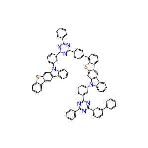 c1ccc(-c2cccc(-c3nc(-c4ccccc4)nc(-c4cccc(-n5c6ccccc6c6cc7c(cc65)sc5c(-c6ccc(-c8nc(-c9ccccc9)nc(-c9cccc(-n%10c%11ccccc%11c%11cc%12c(cc%11%10)sc%10ccccc%10%12)c9)n8)cc6)cccc57)c4)n3)c2)cc1